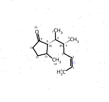 C/C=C\C[C@@H](C)C(C)[C@H]1C(=O)CCC1C